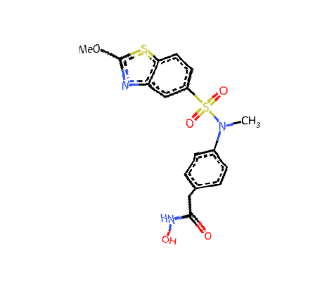 COc1nc2cc(S(=O)(=O)N(C)c3ccc(C(=O)NO)cc3)ccc2s1